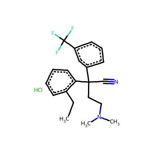 CCc1ccccc1C(C#N)(CCN(C)C)c1cccc(C(F)(F)F)c1.Cl